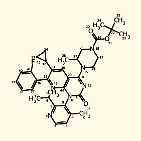 Cc1ccnc(C(C)C)c1-n1c(=O)nc(N2CCN(C(=O)OC(C)(C)C)CC2C)c2cc(C3CC3)c(-c3ccccc3F)nc21